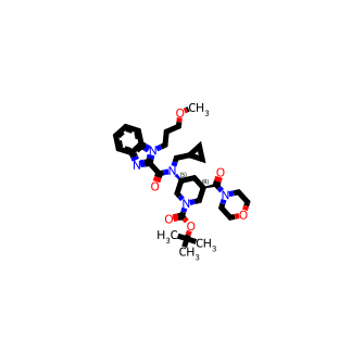 COCCCn1c(C(=O)N(CC2CC2)[C@H]2C[C@@H](C(=O)N3CCOCC3)CN(C(=O)OC(C)(C)C)C2)nc2ccccc21